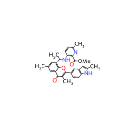 COC(=O)c1nc(C)ccc1NC(C)c1cc(C)cc2c(=O)c(C)c(-c3ccc4[nH]c(C)cc4c3)oc12